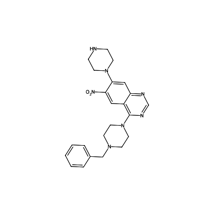 O=[N+]([O-])c1cc2c(N3CCN(Cc4ccccc4)CC3)ncnc2cc1N1CCNCC1